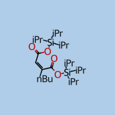 CCCC/C(=C/C(=O)O[Si](C(C)C)(C(C)C)C(C)C)C(=O)O[Si](C(C)C)(C(C)C)C(C)C